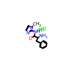 Cl.Cl.Cn1ccnc1NC(=O)C(N)Cc1ccccc1